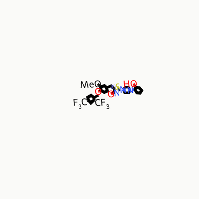 COc1cc(/C=C2/SC(N3CCN(c4ccccc4O)CC3)=NC2=O)ccc1OCc1ccc(C(F)(F)F)cc1C(F)(F)F